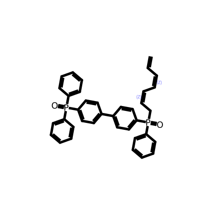 C=C/C=C\C=C/CP(=O)(c1ccccc1)c1ccc(-c2ccc(P(=O)(c3ccccc3)c3ccccc3)cc2)cc1